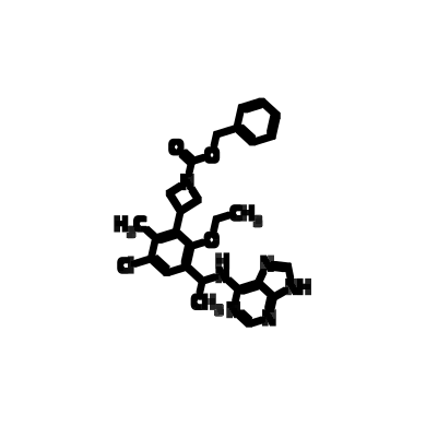 CCOc1c(C(C)Nc2ncnc3[nH]cnc23)cc(Cl)c(C)c1C1CN(C(=O)OCc2ccccc2)C1